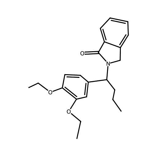 CCCC(c1ccc(OCC)c(OCC)c1)N1Cc2ccccc2C1=O